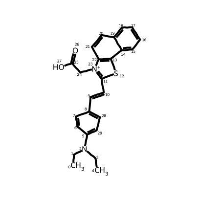 CCN(CC)c1ccc(/C=C/c2sc3c4ccccc4ccc3[n+]2CC(=O)O)cc1